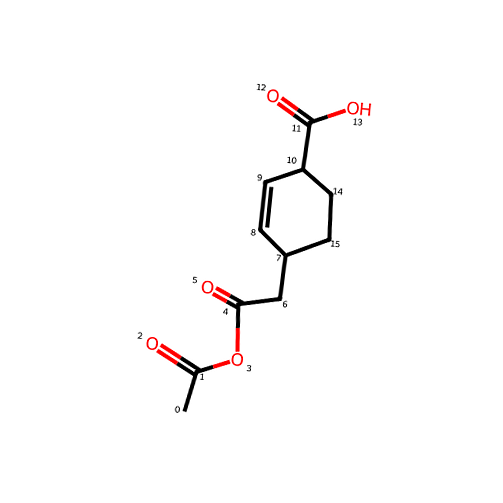 CC(=O)OC(=O)CC1C=CC(C(=O)O)CC1